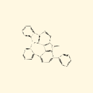 Cn1c2ccc3c4ccccc4n4c5ccccc5c5ccc(-c6ccccc6)c1c5c2c34